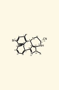 Cc1cc(Br)ccc1[C@H]1SC[C@H](C#N)Nc2c1c(-c1ccccn1)nn2C